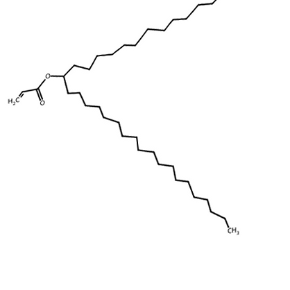 C=CC(=O)OC(CCCCCCCCCCCCCCCC)CCCCCCCCCCCCCCCCCCC